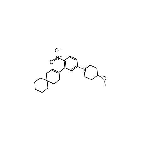 COC1CCN(c2ccc([N+](=O)[O-])c(C3=CCC4(CCCCC4)CC3)c2)CC1